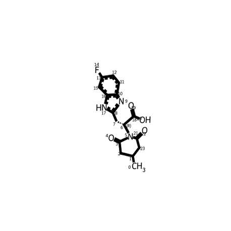 CC1CC(=O)N([C@H](Cc2nc3ccc(F)cc3[nH]2)C(=O)O)C(=O)C1